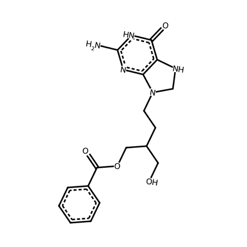 Nc1nc2c(c(=O)[nH]1)NCN2CCC(CO)COC(=O)c1ccccc1